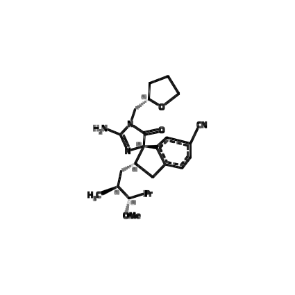 CO[C@@H](C(C)C)[C@@H](C)C[C@H]1Cc2ccc(C#N)cc2[C@]12N=C(N)N(C[C@@H]1CCCO1)C2=O